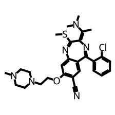 CSC1=Nc2cc(OCCN3CCN(C)CC3)c(C#N)cc2C(c2ccccc2Cl)=NC1=C(C)N(C)C